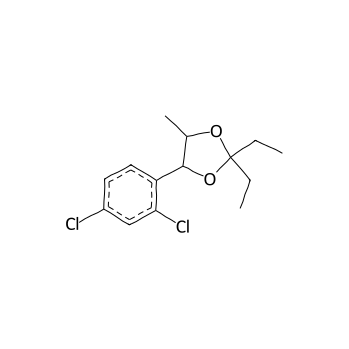 CCC1(CC)OC(C)C(c2ccc(Cl)cc2Cl)O1